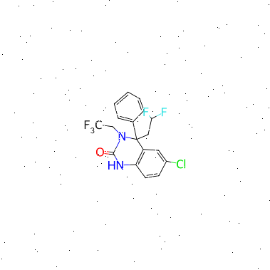 O=C1Nc2ccc(Cl)cc2C(CC(F)F)(c2ccccc2)N1CC(F)(F)F